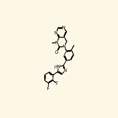 Cc1ccc(-c2ncc(-c3cccc(F)c3F)[nH]2)cc1N1Cc2cncnc2N(C)C1=O